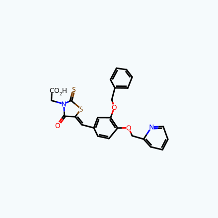 O=C(O)CN1C(=O)C(=Cc2ccc(OCc3ccccn3)c(OCc3ccccc3)c2)SC1=S